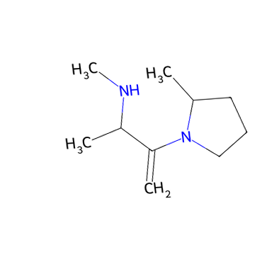 C=C(C(C)NC)N1CCCC1C